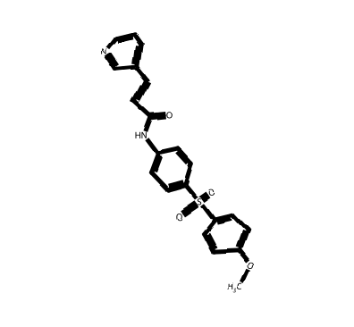 COc1ccc(S(=O)(=O)c2ccc(NC(=O)/C=C/c3cccnc3)cc2)cc1